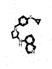 c1cc(NC2CCN(Cc3ccc(SC4CC4)cc3)C2)c2ccncc2c1